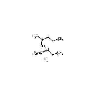 CCCN(C)C.CCN=C=N.Cl